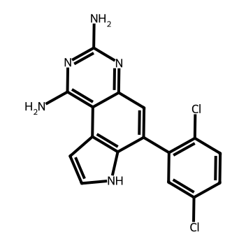 Nc1nc(N)c2c(cc(-c3cc(Cl)ccc3Cl)c3[nH]ccc32)n1